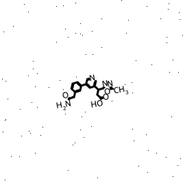 Cc1nnc(C(CC(=O)O)c2cncc(-c3cccc(CC(N)=O)c3)c2)o1